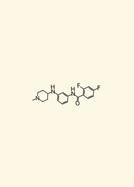 CN1CCC(Nc2cccc(NC(=O)c3ccc(F)cc3F)c2)CC1